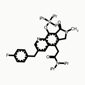 CC(C)N(C(=O)Cc1c2c(c(O[Si](C(C)C)(C(C)C)C(C)C)c3ncc(Cc4ccc(F)cc4)cc13)C(=O)N(C)C2)C(C)C